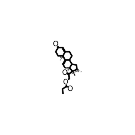 CCC(=O)OCC(=O)[C@@]1(C)[C@@H](C)CC2C3CCC4=CC(=O)CC[C@]4(C)C3=CC[C@@]21C